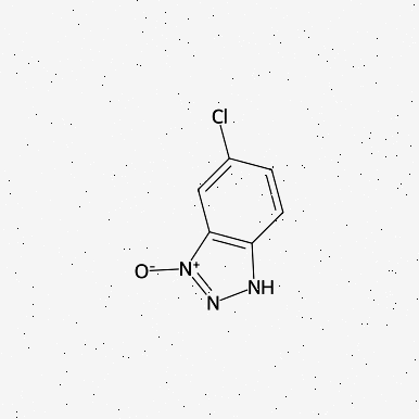 [O-][n+]1n[nH]c2ccc(Cl)cc21